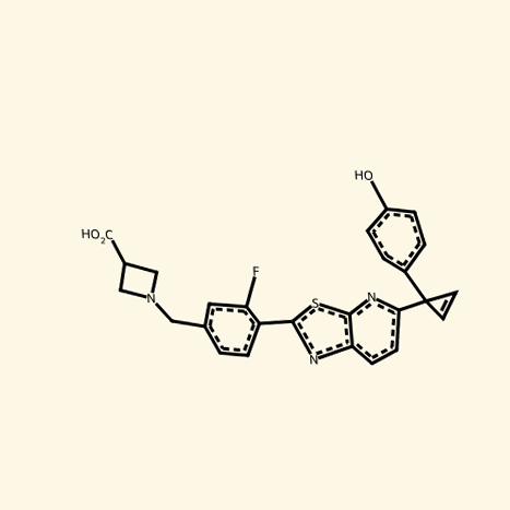 O=C(O)C1CN(Cc2ccc(-c3nc4ccc(C5(c6ccc(O)cc6)C=C5)nc4s3)c(F)c2)C1